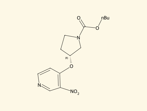 CCCCOC(=O)N1CC[C@@H](Oc2ccncc2[N+](=O)[O-])C1